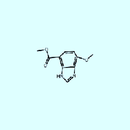 COC(=O)c1ccc(OC)c2nc[nH]c12